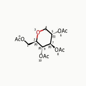 CC(=O)OC[C@H]1O[CH][C@H](OC(C)=O)[C@@H](OC(C)=O)[C@@H]1OC(C)=O